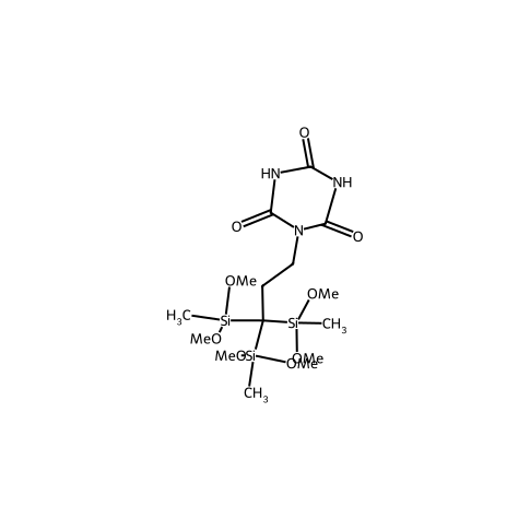 CO[Si](C)(OC)C(CCn1c(=O)[nH]c(=O)[nH]c1=O)([Si](C)(OC)OC)[Si](C)(OC)OC